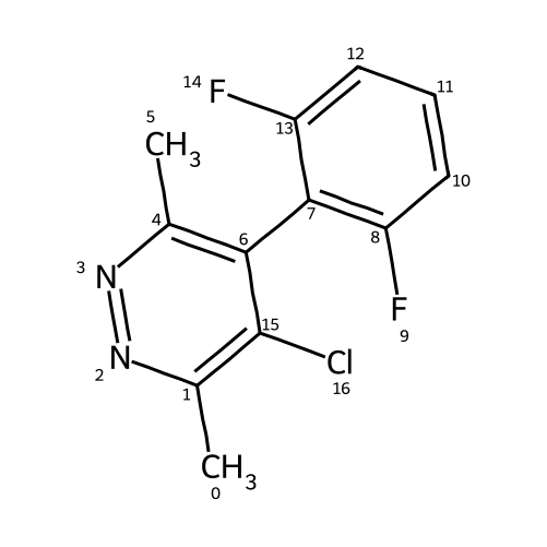 Cc1nnc(C)c(-c2c(F)cccc2F)c1Cl